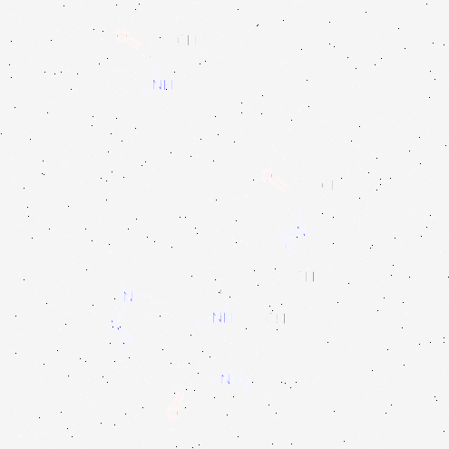 CC(=O)/N=C1\CC[C@@H](Nc2c(C(N)=O)cnn3cc(-c4ccc(CNC(C)=O)cc4)cc23)C1(C)C